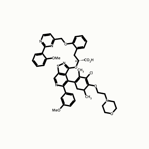 COc1cccc(-c2ncc3snc(O[C@H](Cc4ccccc4OCc4ccnc(-c5ccccc5OC)n4)C(=O)O)c3c2C2=C(C)C(Cl)=C(OCCN3CCOCC3)C(C)C2)c1